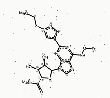 CCONc1nc(-c2cn(CCOC)nn2)nc2c1ncn2C1O[C@H](C(=O)NC)[C@@H](O)[C@H]1O